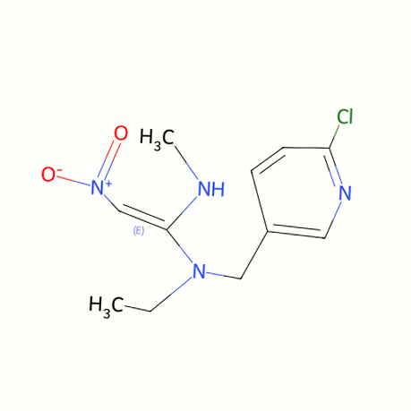 CCN(Cc1ccc(Cl)nc1)/C(=C/[N+](=O)[O-])NC